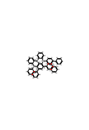 c1ccc(-c2ccc(N3c4ccccc4B4c5ccccc5N(c5ccccc5)c5c(-c6ccccc6)cc(-c6ccccc6)c3c54)cc2-c2ccccc2)cc1